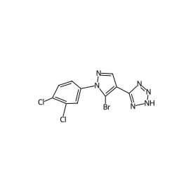 Clc1ccc(-n2ncc(-c3nn[nH]n3)c2Br)cc1Cl